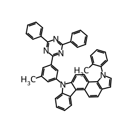 Cc1cc(-c2nc(-c3ccccc3)nc(-c3ccccc3)n2)cc(-n2c3ccccc3c3c4ccc5ccn(-c6ccccc6C)c5c4ccc32)c1